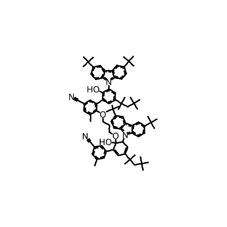 Cc1cc(C#N)cc(C2=CC(C(C)(C)CC(C)(C)C)=CC(n3c4ccc(C(C)(C)C)cc4c4cc(C(C)(C)C)ccc43)C2(O)OCCCOc2c(C)cc(C#N)cc2-c2cc(C(C)(C)CC(C)(C)C)cc(-n3c4ccc(C(C)(C)C)cc4c4cc(C(C)(C)C)ccc43)c2O)c1